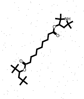 CC(C)(C)CC(OC(=O)CCCCCCCCC(=O)OC1CC(C)(C)NC1(C)C)C(C)(C)C